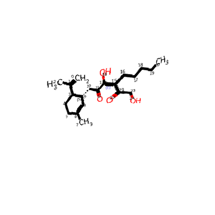 C=C(C)C1CCC(C)=C[C@H]1CC(=O)/C(O)=C(/CCCCC)C(=O)CO